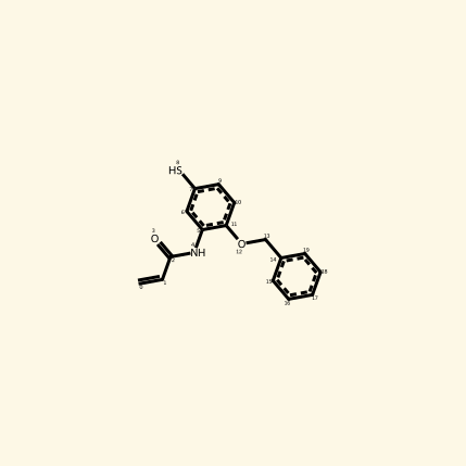 C=CC(=O)Nc1cc(S)ccc1OCc1ccccc1